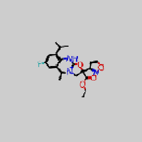 CCOC(=O)C1(c2ccon2)CN=C(Nc2c(C(C)C)cc(F)cc2C(C)C)O1